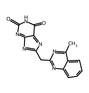 Cc1nc(CC2=NC3=NC(=O)NC(=O)C3=N2)nc2ccccc12